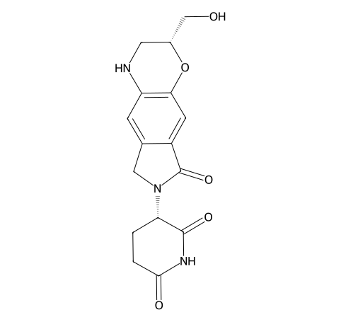 O=C1CC[C@H](N2Cc3cc4c(cc3C2=O)O[C@@H](CO)CN4)C(=O)N1